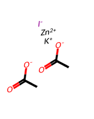 CC(=O)[O-].CC(=O)[O-].[I-].[K+].[Zn+2]